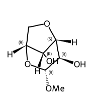 CO[C@@H]1O[C@@H]2CO[C@H]([C@H]1O)[C@@H]2O